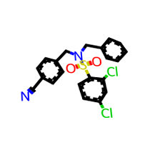 N#Cc1ccc(CN(Cc2ccccc2)S(=O)(=O)c2ccc(Cl)cc2Cl)cc1